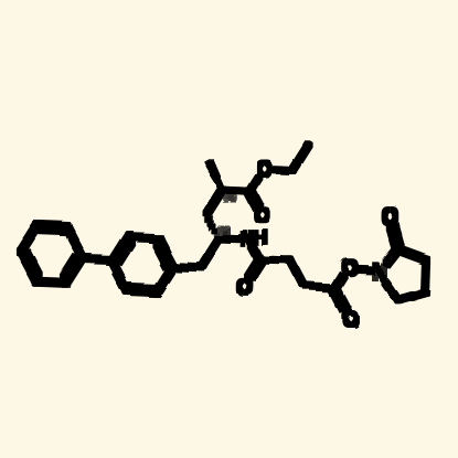 CCOC(=O)[C@H](C)C[C@@H](Cc1ccc(-c2ccccc2)cc1)NC(=O)CCC(=O)ON1CCCC1=O